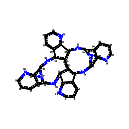 c1cnc2c(c1)-c1nc3[nH]c(nc4c5c(nc6[nH]c(nc-2c15)c1cccnc61)-c1cccnc1-4)c1cccnc31